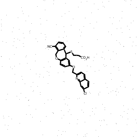 N#Cc1cccc2c1COc1ccc(OCc3ccc4ccc(Cl)cc4n3)cc1C2SCCC(=O)O